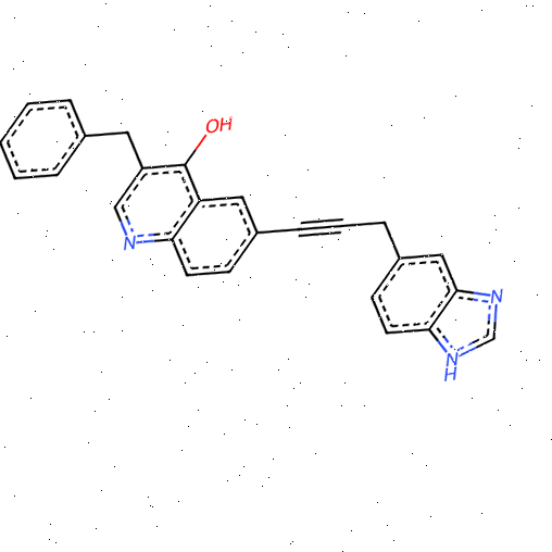 Oc1c(Cc2ccccc2)cnc2ccc(C#CCc3ccc4[nH]cnc4c3)cc12